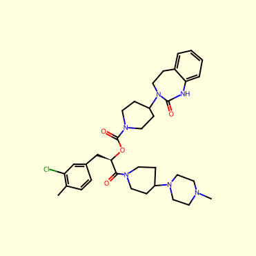 Cc1ccc(C[C@@H](OC(=O)N2CCC(N3CCc4ccccc4NC3=O)CC2)C(=O)N2CCC(N3CCN(C)CC3)CC2)cc1Cl